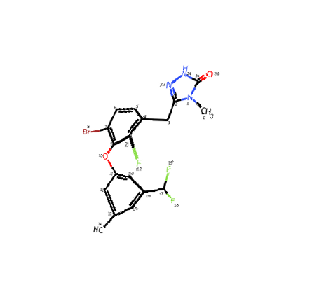 Cn1c(Cc2ccc(Br)c(Oc3cc(C#N)cc(C(F)F)c3)c2F)n[nH]c1=O